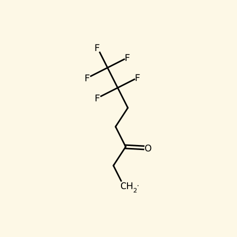 [CH2]CC(=O)CCC(F)(F)C(F)(F)F